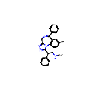 CCCNCC(c1ccccc1)c1nnc2n1-c1ccc(C)cc1C(c1ccccc1)=NC2